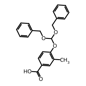 Cc1cc(C(=O)O)ccc1OC(OCc1ccccc1)OCc1ccccc1